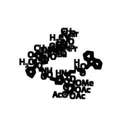 CC[C@H](C)[C@@H]([C@@H](CC(=O)N1CCC[C@H]1[C@H](OC)[C@@H](C)C(=O)N[C@H](C)[C@@H](OCNC(=O)OCc1ccc(O[C@H]2O[C@@H](OC(C)=O)[C@H](OC(C)=O)[C@@H](OC(C)=O)[C@@H]2C(=O)OC)c(NC(=O)CCNC(=O)OCC2c3ccccc3-c3ccccc32)c1)c1ccccc1)OC)N(C)C(=O)[C@@H](NC(=O)[C@H](C(C)C)N(C)C)C(C)C